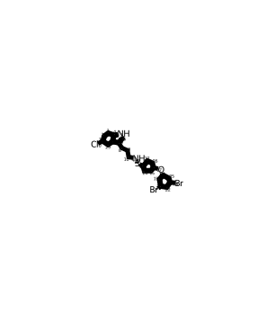 Clc1ccc2[nH]cc(CCCNSc3ccc(Oc4cc(Br)cc(Br)c4)cc3)c2c1